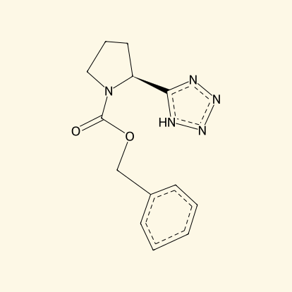 O=C(OCc1ccccc1)N1CCC[C@H]1c1nnn[nH]1